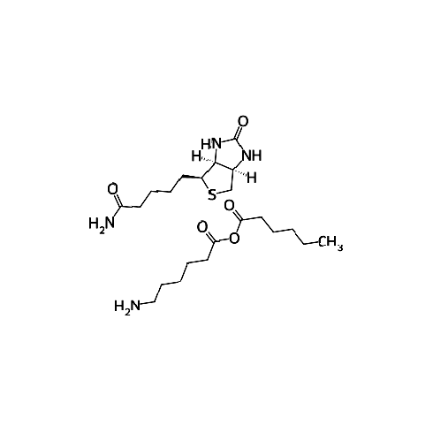 CCCCCC(=O)OC(=O)CCCCCN.NC(=O)CCCC[C@@H]1SC[C@@H]2NC(=O)N[C@@H]21